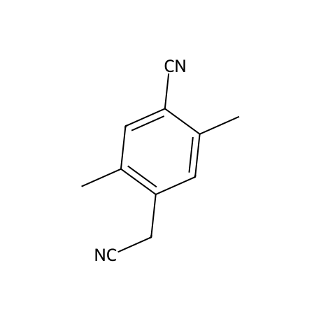 Cc1cc(CC#N)c(C)cc1C#N